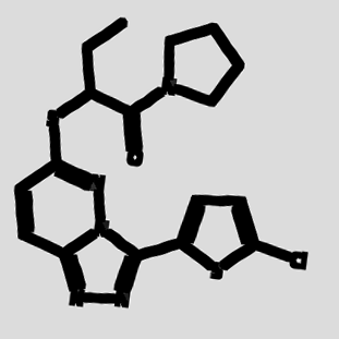 CCC(Sc1ccc2nnc(-c3ccc(Cl)s3)n2n1)C(=O)N1CCCC1